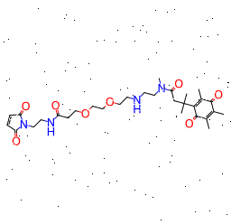 CC1=C(C)C(=O)C(C(C)(C)CC(=O)N(C)CCNCCOCCOCCC(=O)NCCN2C(=O)C=CC2=O)=C(C)C1=O